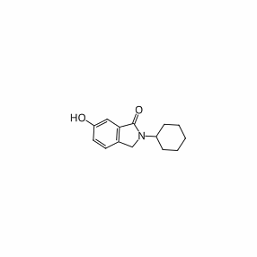 O=C1c2cc(O)ccc2CN1C1CCCCC1